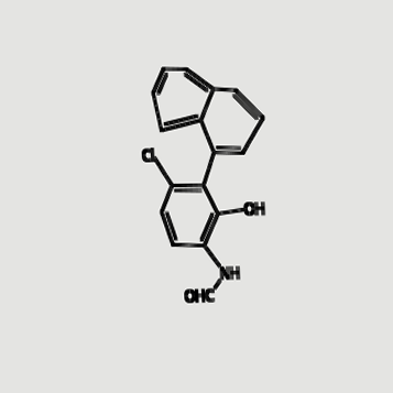 O=CNc1ccc(Cl)c(-c2cccc3ccccc23)c1O